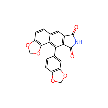 O=C1NC(=O)c2c1cc1ccc3c(c1c2-c1ccc2c(c1)OCO2)OCO3